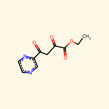 CCOC(=O)C(=O)CC(=O)c1cnccn1